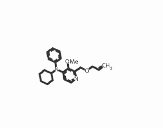 C=CCOCc1nccc(N(c2ccccc2)C2CCCCC2)c1OC